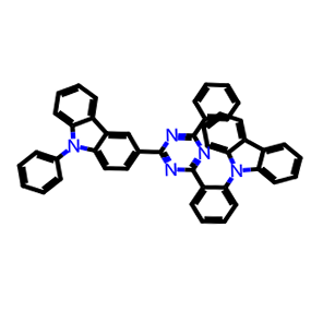 c1ccc(-c2nc(-c3ccc4c(c3)c3ccccc3n4-c3ccccc3)nc(-c3ccccc3-n3c4ccccc4c4ccccc43)n2)cc1